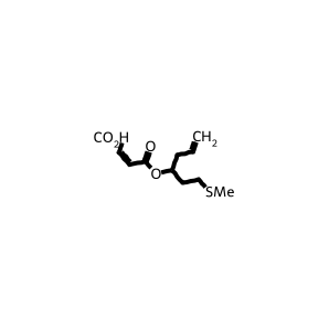 C=CCC(CCSC)OC(=O)/C=C\C(=O)O